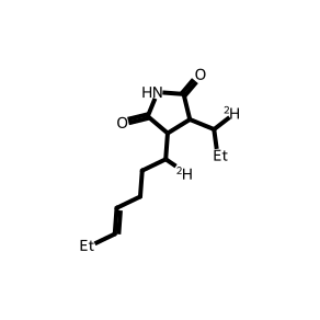 [2H]C(CC)C1C(=O)NC(=O)C1C([2H])CCC=CCC